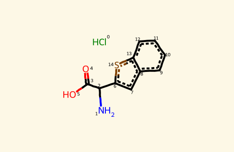 Cl.NC(C(=O)O)c1cc2ccccc2s1